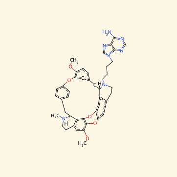 COc1ccc2cc1Oc1ccc(cc1)C[C@H]1c3c(cc(OC)c4c3Oc3cc5c(cc3O4)CCN(CCCCn3cnc4c(N)ncnc43)[C@H]5C2)CCN1C